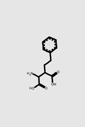 NC(C(=O)O)C(CCc1ccccc1)C(=O)O